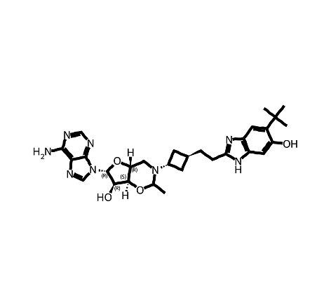 CC1O[C@H]2[C@@H](O)[C@H](n3cnc4c(N)ncnc43)O[C@@H]2CN1[C@H]1C[C@H](CCc2nc3cc(C(C)(C)C)c(O)cc3[nH]2)C1